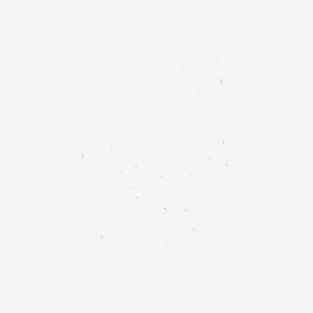 CCC[Si](CCC)(CCC)CCCCCC[Si](CCCCCCCC[Si](C(C)C)(C(C)C)C(C)C)(Oc1c(F)c(F)c2c(F)c3[c]c(F)c(F)c(F)c3c(F)c2c1F)C(C)C